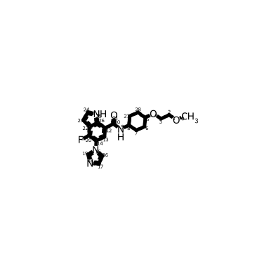 COCCOC1CCC(NC(=O)c2cc(-n3ccnc3)c(F)c3cc[nH]c23)CC1